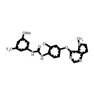 COc1cc(NC(=O)Nc2ccc(Oc3ncnc4ccn(C)c34)cc2Cl)cc(C(F)(F)F)c1